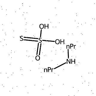 CCCNCCC.O=S(O)(O)=S